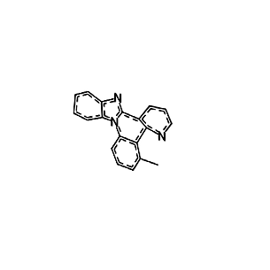 Cc1cccc2c1c1ncccc1c1nc3ccccc3n21